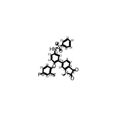 CN1C(=O)C(=O)c2ccc(-c3cc(NS(=O)(=O)c4ccccc4)ccc3Oc3ccc(F)cc3F)cc21